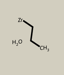 CC[CH2][Zr].O